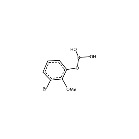 COc1c(Br)cccc1OB(O)O